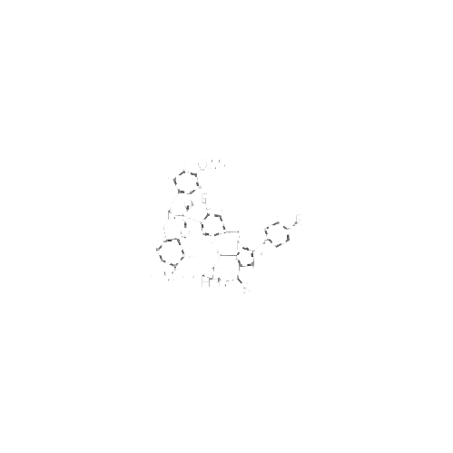 COc1ccc(CN(Cc2ccc(OC)cc2)S(=O)(=O)c2ccc(Cn3c(-c4ccc(F)cc4)cc(C(N)=S)c3CC3CC3)cc2F)cc1